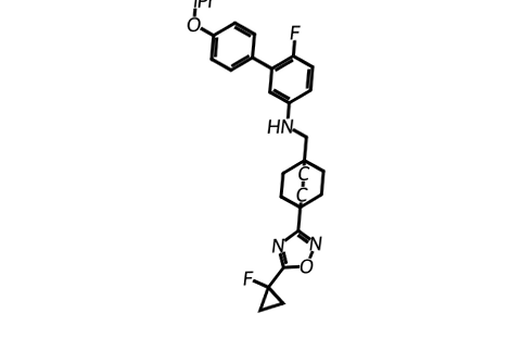 CC(C)Oc1ccc(-c2cc(NCC34CCC(c5noc(C6(F)CC6)n5)(CC3)CC4)ccc2F)cc1